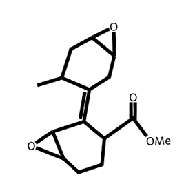 COC(=O)C1CCC2OC2C1=C1CC2OC2CC1C